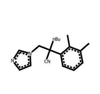 CCCCC(C#N)(Cn1ccnc1)c1cccc(C)c1C